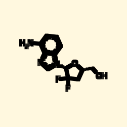 Nc1cccc2c1ncn2[C@@H]1O[C@H](CO)CC1(F)F